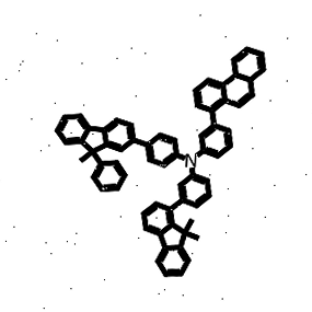 CC1(C)c2ccccc2-c2cccc(-c3cccc(N(c4ccc(-c5ccc6c(c5)C(C)(c5ccccc5)c5ccccc5-6)cc4)c4cccc(-c5cccc6c5C=CC5C=CC=CC65)c4)c3)c21